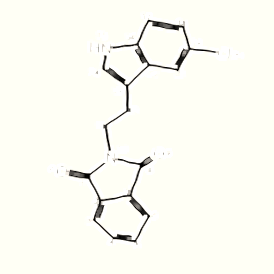 O=C1c2ccccc2C(=O)N1CCc1c[nH]c2ccc(Cl)cc12